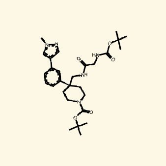 Cn1cc(-c2cccc(C3(CNC(=O)CNC(=O)OC(C)(C)C)CCN(C(=O)OC(C)(C)C)CC3)c2)cn1